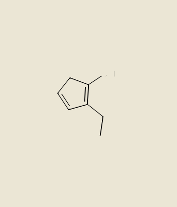 CCC1=C([SiH3])CC=C1